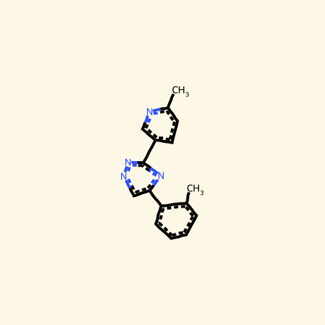 Cc1ccc(-c2nncc(-c3ccccc3C)n2)cn1